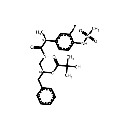 C[C@H](C(=O)NC[C@H](Cc1ccccc1)OC(=O)C(C)(C)C)c1ccc(NS(C)(=O)=O)c(F)c1